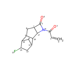 C=CC(=O)N1C(=O)C2CC3C4CC(CC4F)C3C21